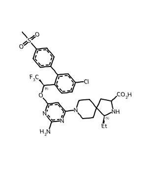 CC[C@@H]1NC(C(=O)O)CC12CCN(c1cc(O[C@H](c3ccc(Cl)cc3-c3ccc(S(C)(=O)=O)cc3)C(F)(F)F)nc(N)n1)CC2